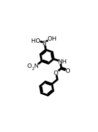 O=C(Nc1cc(B(O)O)cc([N+](=O)[O-])c1)OCc1ccccc1